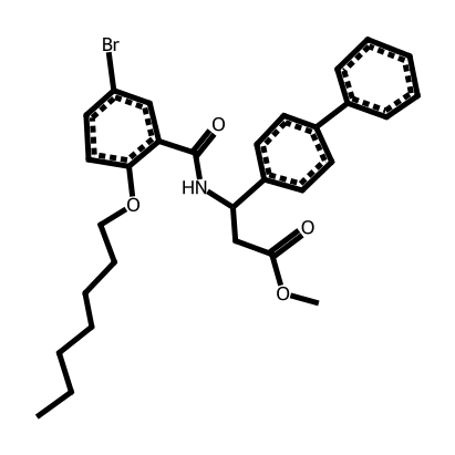 CCCCCCCOc1ccc(Br)cc1C(=O)NC(CC(=O)OC)c1ccc(-c2ccccc2)cc1